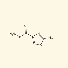 CCc1nc(C(=O)ON)cs1